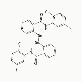 Cc1ccc(Cl)c(NC(=O)c2ccccc2[Se][Se]c2ccccc2C(=O)Nc2cc(C)ccc2Cl)c1